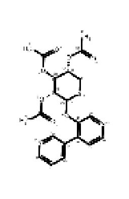 CC(=O)O[C@@H]1[C@@H](OC(C)=O)[C@H](OC(C)=O)CS[C@H]1Oc1cnccc1-c1cccnc1